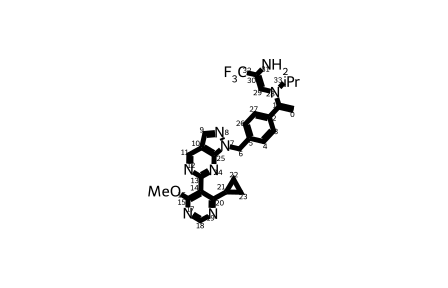 C=C(c1ccc(Cn2ncc3cnc(-c4c(OC)ncnc4C4CC4)nc32)cc1)N(/C=C(\N)C(F)(F)F)C(C)C